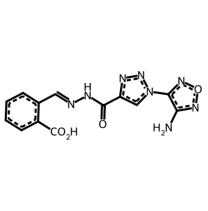 Nc1nonc1-n1cc(C(=O)NN=Cc2ccccc2C(=O)O)nn1